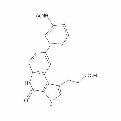 CC(=O)Nc1cccc(-c2ccc3[nH]c(=O)c4[nH]cc(CCC(=O)O)c4c3c2)c1